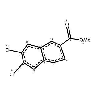 COC(=O)c1ccc2cc(Cl)c(Cl)cc2c1